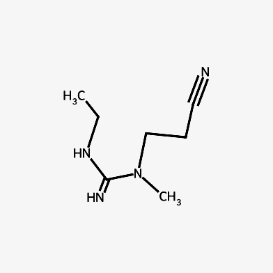 CCNC(=N)N(C)CCC#N